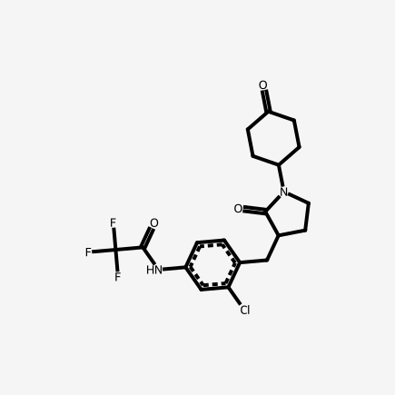 O=C1CCC(N2CCC(Cc3ccc(NC(=O)C(F)(F)F)cc3Cl)C2=O)CC1